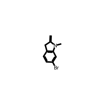 C=C1Cc2ccc(Br)cc2N1C